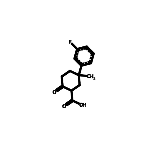 CC1(c2cccc(F)c2)CCC(=O)C(C(=O)O)C1